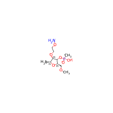 B[C@@H]1O[C@H](COC)C(OP(C)(=O)O)[C@@H]1OCCON